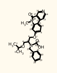 CC(C)OCC(COc1ccc2c3ccncc3c(=O)n(C)c2c1)N(Cc1ccccc1)C(=O)O